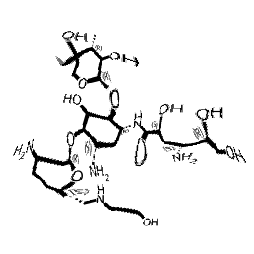 C[C@@H]1C(O)[C@@H](OC2C(O)C(O[C@H]3O[C@H](CNCCO)CCC3N)[C@@H](N)C[C@H]2NC(=O)[C@@H](O)[C@@H](N)[C@@H](O)CO)OCC1(C)O